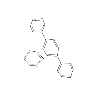 [c]1ccccc1.c1ccc(-c2ccc(-c3ccccc3)cc2)cc1